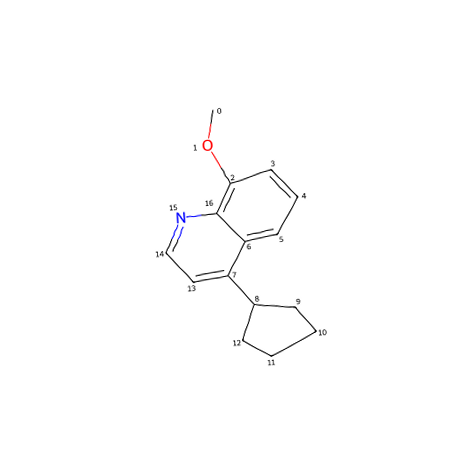 COc1cccc2c(C3CCCC3)ccnc12